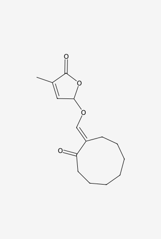 CC1=CC(O/C=C2\CCCCCCCC2=O)OC1=O